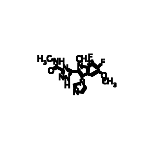 CNC(=O)c1n[nH]c(-c2c(-n3ccnc3)c3cc(OC)c(F)c(F)c3n2C)n1